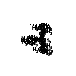 CCC(COC(=O)/C=C(/C)OC1CC(C)(C)N(C)C(C)(C)C1)(COC(=O)/C=C(/C)OC1CC(C)(C)N(C)C(C)(C)C1)COC(=O)/C=C(/C)OC1CC(C)(C)N(C)C(C)(C)C1